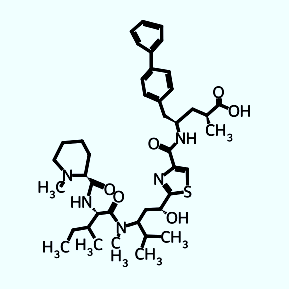 CCC(C)[C@H](NC(=O)[C@H]1CCCCN1C)C(=O)N(C)C(C[C@@H](O)c1nc(C(=O)N[C@@H](Cc2ccc(-c3ccccc3)cc2)C[C@H](C)C(=O)O)cs1)C(C)C